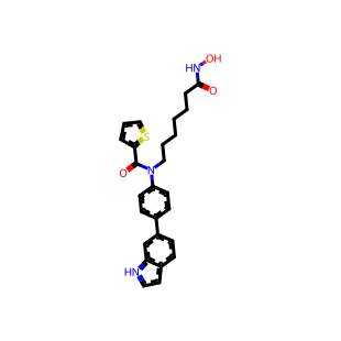 O=C(CCCCCCN(C(=O)c1cccs1)c1ccc(-c2ccc3cc[nH]c3c2)cc1)NO